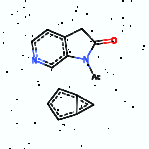 CC(=O)N1C(=O)Cc2ccncc21.c1cc2cc-2c1